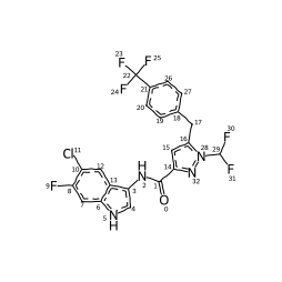 O=C(Nc1c[nH]c2cc(F)c(Cl)cc12)c1cc(Cc2ccc(C(F)(F)F)cc2)n(C(F)F)n1